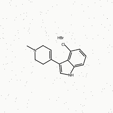 Br.CN1CC=C(c2c[nH]c3cccc(Cl)c23)CC1